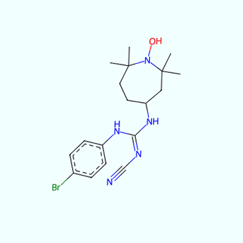 CC1(C)CCC(N/C(=N/C#N)Nc2ccc(Br)cc2)CC(C)(C)N1O